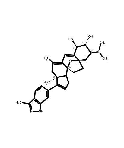 Cc1n[nH]c2cc(C3=CCC4[C@]3(C)CC(C(F)(F)F)=C3C=C5[C@@H](O)[C@H](O)[C@@H](N(C)C)C[C@]56CC[C@@]34O6)ccc12